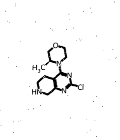 C[C@H]1COCCN1c1nc(Cl)nc2c1CCNC2